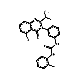 Cc1ccccc1NC(=O)Nc1cccc(-n2c(C(C)N)nc3cccc(Cl)c3c2=O)c1